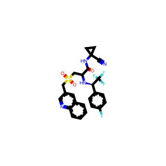 N#CC1(NC(=O)C(CS(=O)(=O)Cc2cnc3ccccc3c2)N[C@H](c2ccc(F)cc2)C(F)(F)F)CC1